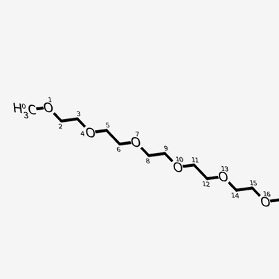 COCCOCCOCCOCCOCCO[C]=O